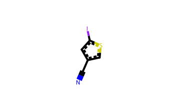 N#Cc1csc(I)c1